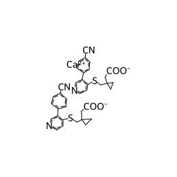 N#Cc1ccc(-c2cnccc2SCC2(CC(=O)[O-])CC2)cc1.N#Cc1ccc(-c2cnccc2SCC2(CC(=O)[O-])CC2)cc1.[Ca+2]